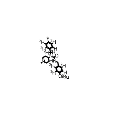 [2H]c1c([2H])c(C([2H])([2H])N(C(=O)NCc2c([2H])c([2H])c(OCC(C)C)c([2H])c2[2H])C2CCN(C)CC2)c([2H])c([2H])c1F